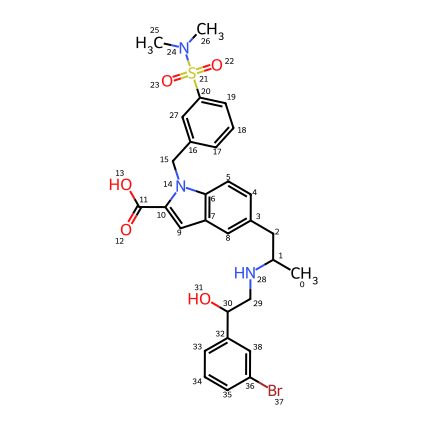 CC(Cc1ccc2c(c1)cc(C(=O)O)n2Cc1cccc(S(=O)(=O)N(C)C)c1)NCC(O)c1cccc(Br)c1